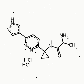 CC(N)C(=O)NC1(c2ccc(-c3cn[nH]c3)nn2)CC1.Cl.Cl